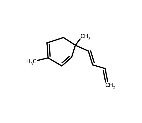 C=CC=CC1(C)C=CC(C)=CC1